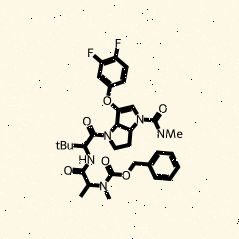 CNC(=O)N1C=C(Oc2ccc(F)c(F)c2)C2C1CCN2C(=O)C(NC(=O)C(C)N(C)C(=O)OCc1ccccc1)C(C)(C)C